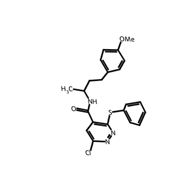 COc1ccc(CCC(C)NC(=O)c2cc(Cl)nnc2Sc2ccccc2)cc1